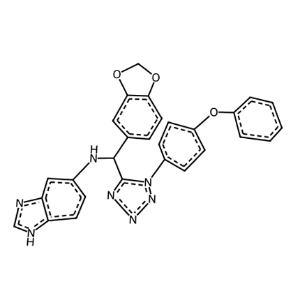 c1ccc(Oc2ccc(-n3nnnc3C(Nc3ccc4[nH]cnc4c3)c3ccc4c(c3)OCO4)cc2)cc1